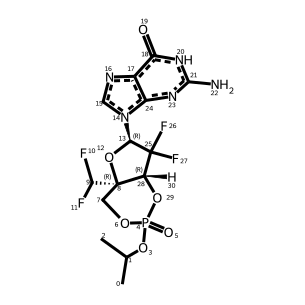 CC(C)OP1(=O)OC[C@@]2(C(F)F)O[C@@H](n3cnc4c(=O)[nH]c(N)nc43)C(F)(F)[C@@H]2O1